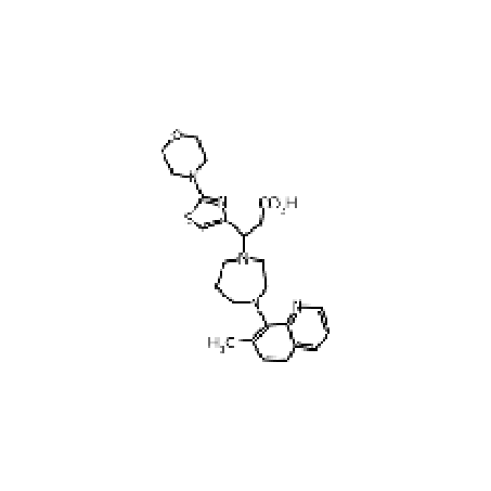 Cc1ccc2cccnc2c1N1CCCN(C(CC(=O)O)c2csc(N3CCOCC3)n2)CC1